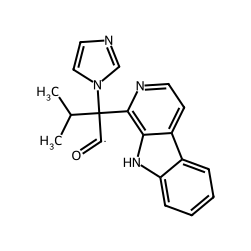 CC(C)C([C]=O)(c1nccc2c1[nH]c1ccccc12)n1ccnc1